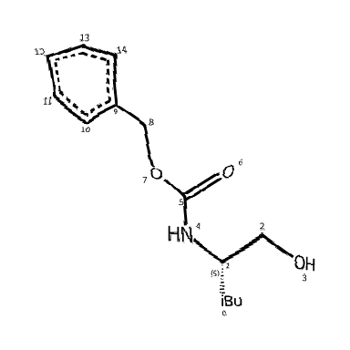 CCC(C)[C@@H](CO)NC(=O)OCc1ccccc1